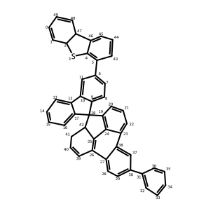 C1=CC2Sc3c(-c4ccc5c(c4)-c4ccccc4C54c5cccc6c5c5c(c7ccc(-c8ccccc8)cc76)C=CCC54)cccc3C2C=C1